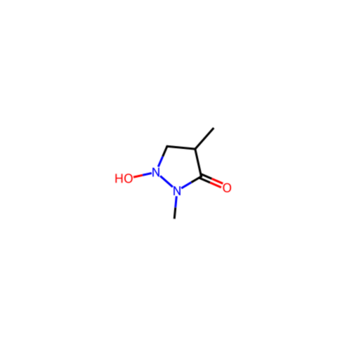 CC1CN(O)N(C)C1=O